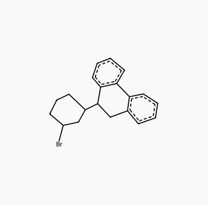 BrC1CCCC(C2Cc3ccccc3-c3ccccc32)C1